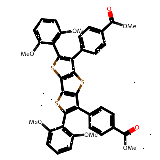 COC(=O)c1ccc(-c2c(-c3c(OC)cccc3OC)sc3c2sc2c(-c4ccc(C(=O)OC)cc4)c(-c4c(OC)cccc4OC)sc23)cc1